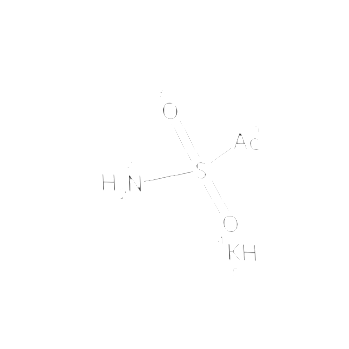 CC(=O)S(N)(=O)=O.[KH]